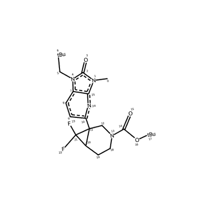 Cn1c(=O)n(CC(C)(C)C)c2ccc(C34CN(C(=O)OC(C)(C)C)CCC3C4(F)F)nc21